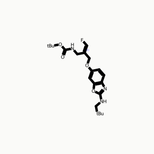 CC(C)(C)CNc1nc2ccc(OC/C(=C/F)CNC(=O)OC(C)(C)C)cc2o1